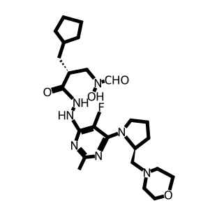 Cc1nc(NNC(=O)[C@H](CC2CCCC2)CN(O)C=O)c(F)c(N2CCC[C@H]2CN2CCOCC2)n1